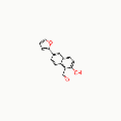 O=Cc1c(O)ccc2cc(-c3ccco3)ccc12